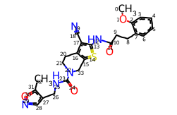 COc1ccccc1CCC(=O)Nc1sc2c(c1C#N)CCN(C(=O)NCc1cnoc1C)C2